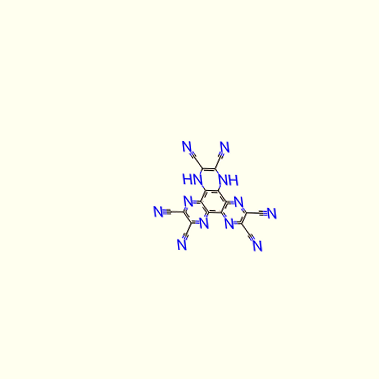 N#CC1=C(C#N)Nc2c(c3nc(C#N)c(C#N)nc3c3nc(C#N)c(C#N)nc23)N1